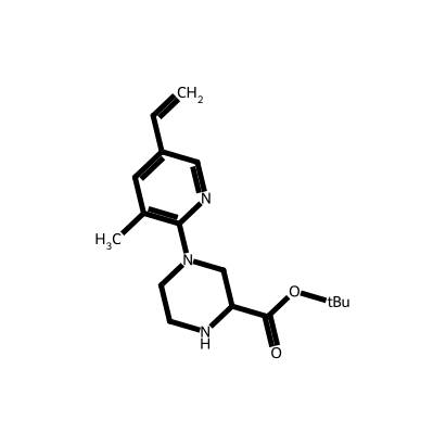 C=Cc1cnc(N2CCNC(C(=O)OC(C)(C)C)C2)c(C)c1